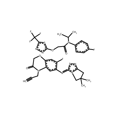 C#CCN1C(=O)COc2cc(F)c(/N=c3\snc4n3CC(C)(C)C4)cc21.CC(C)N(C(=O)COc1nnc(C(F)(F)F)s1)c1ccc(F)cc1